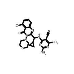 N#Cc1c(N)nc(N)nc1NC(c1nc2cccc(Cl)c2c(=O)n1N1CCOCC1)C1CC1